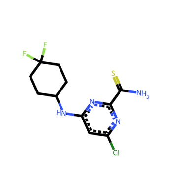 NC(=S)c1nc(Cl)cc(NC2CCC(F)(F)CC2)n1